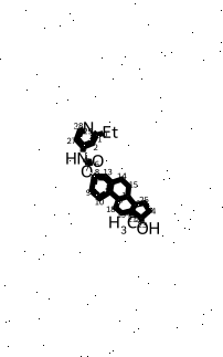 CCc1cc(NC(=O)Oc2ccc3c(c2)CCC2C3CCC3(C)C(O)CCC23)ccn1